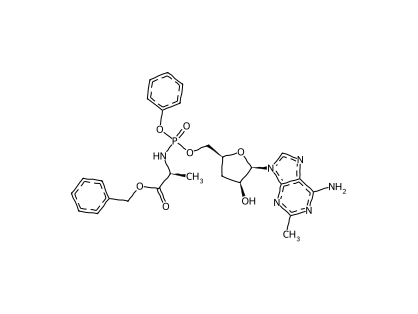 Cc1nc(N)c2ncn([C@@H]3O[C@H](COP(=O)(N[C@@H](C)C(=O)OCc4ccccc4)Oc4ccccc4)C[C@@H]3O)c2n1